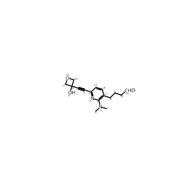 CN(C)c1nc(C#CC2(O)COC2)ccc1CCCC=O